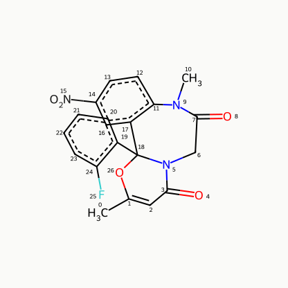 CC1=CC(=O)N2CC(=O)N(C)c3ccc([N+](=O)[O-])cc3C2(c2ccccc2F)O1